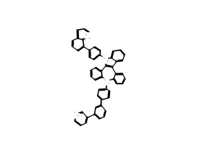 c1cncc(-c2cccc(-c3ccc(N4c5ccccc5-c5c(n(-c6ccc(-c7cccc8cccnc78)cc6)c6ccccc56)-c5ccccc54)cc3)c2)c1